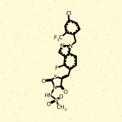 CS(=O)(=O)NN1C(=O)SC(=Cc2ccc3c(cnn3Cc3ccc(Cl)cc3C(F)(F)F)c2F)C1=O